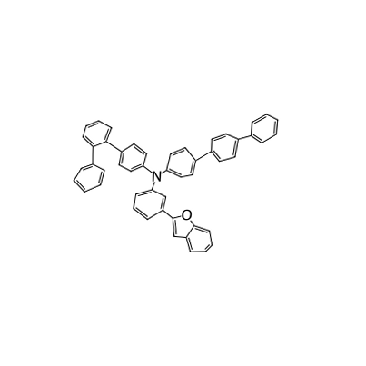 c1ccc(-c2ccc(-c3ccc(N(c4ccc(-c5ccccc5-c5ccccc5)cc4)c4cccc(-c5cc6ccccc6o5)c4)cc3)cc2)cc1